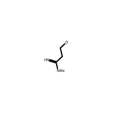 CNC(=N)CC[O]